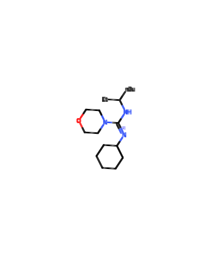 CCCCC(CC)N/C(=N/C1CCCCC1)N1CCOCC1